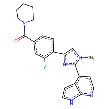 Cn1cc(-c2ccc(C(=O)N3CCCCC3)cc2Cl)nc1-c1ccnc2[nH]ccc12